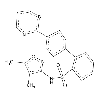 Cc1onc(NS(=O)(=O)c2ccccc2-c2ccc(-c3ncccn3)cc2)c1C